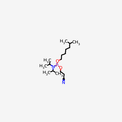 CC(C)CCCCCOP(OCCC#N)N(C(C)C)C(C)C